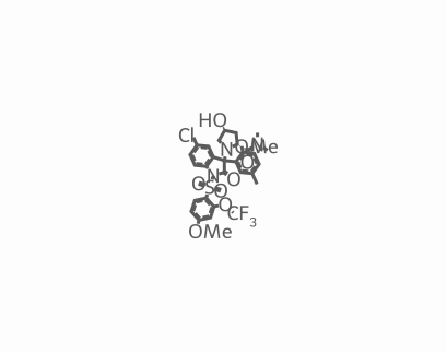 COc1ccc(S(=O)(=O)N2C(=O)C(c3cc(C)ccc3OC)(N3C[C@H](O)C[C@@H]3C(=O)N(C)C)c3cc(Cl)ccc32)c(OC(F)(F)F)c1